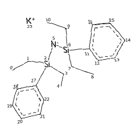 CC[Si](CC)([N-][Si](CC)(CC)c1ccccc1)c1ccccc1.[K+]